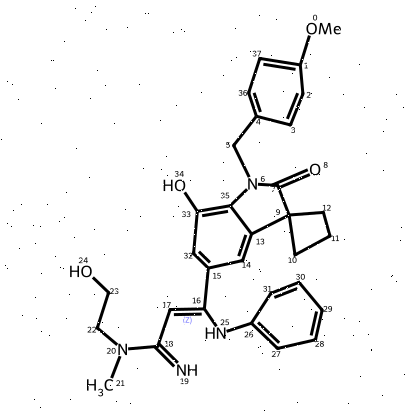 COc1ccc(CN2C(=O)C3(CCC3)c3cc(/C(=C/C(=N)N(C)CCO)Nc4ccccc4)cc(O)c32)cc1